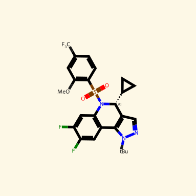 COc1cc(C(F)(F)F)ccc1S(=O)(=O)N1c2cc(F)c(F)cc2-c2c(cnn2C(C)(C)C)[C@H]1C1CC1